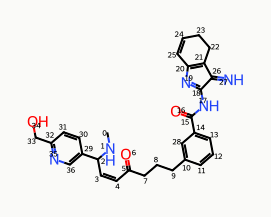 CNC(/C=C\C(=O)CCCc1cccc(C(=O)NC2=NC3=C(CCC=C3)C2=N)c1)c1ccc(CO)nc1